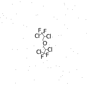 FC(F)(Cl)C(Cl)COCC(Cl)C(F)(F)Cl